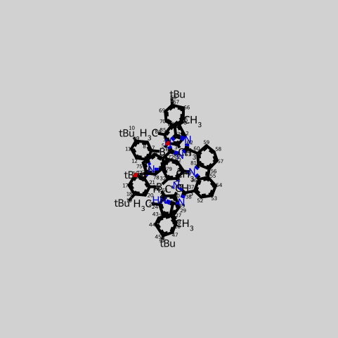 Cc1cc(C)c(B2c3cc(C(C)(C)C)ccc3N3c4ccc(C(C)(C)C)cc4B(c4c(C)cc(C)cc4C)c4cc(-n5c6c(/C(=N/C(=N)c7ccc(C(C)(C)C)cc7)N(C)C)cccc6c6cccc(-c7nc(-c8ccc(C(C)(C)C)cc8)nc(-c8ccc(C(C)(C)C)cc8)n7)c65)cc2c43)c(C)c1